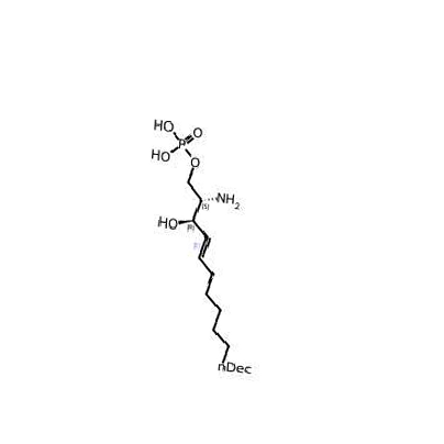 CCCCCCCCCCCCCCC/C=C/[C@@H](O)[C@@H](N)COP(=O)(O)O